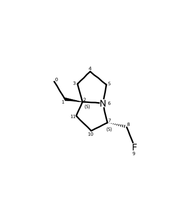 CC[C@@]12CCCN1[C@H](CF)CC2